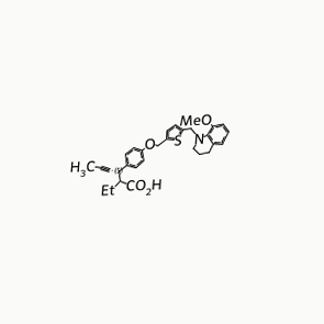 CC#C[C@H](c1ccc(OCc2ccc(CN3CCCc4cccc(OC)c43)s2)cc1)C(CC)C(=O)O